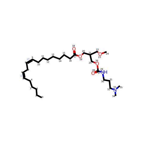 CCCCC/C=C\C/C=C\CCCCCCCC(=O)OCC(COC)COC(=O)NCCCN(C)C